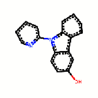 Oc1ccc2c(c1)c1ccccc1n2-c1ccccn1